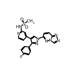 CS(=O)(=O)Nc1cc(-c2cn(-c3ccc4nncn4n3)nc2-c2ccc(F)cc2)ccn1